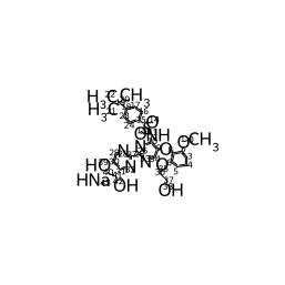 COc1ccccc1Oc1c(NS(=O)(=O)c2ccc(C(C)(C)C)cc2)nc(-c2ncccn2)nc1OCCO.OCCO.[NaH]